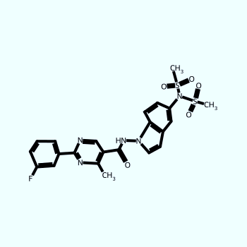 Cc1nc(-c2cccc(F)c2)ncc1C(=O)Nn1ccc2cc(N(S(C)(=O)=O)S(C)(=O)=O)ccc21